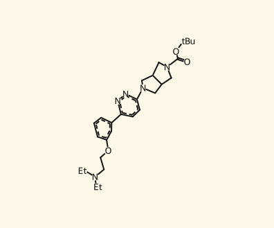 CCN(CC)CCOc1cccc(-c2ccc(N3CC4CN(C(=O)OC(C)(C)C)CC4C3)nn2)c1